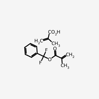 C=C(C)C(=O)O.C=C(C)C(=O)OC(F)(F)c1ccccc1